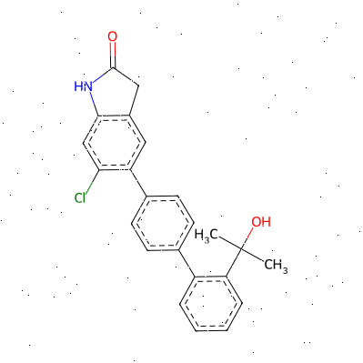 CC(C)(O)c1ccccc1-c1ccc(-c2cc3c(cc2Cl)NC(=O)C3)cc1